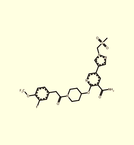 CS(=O)(=O)Cn1cc(-c2cnc(OC3CCN(C(=O)Cc4ccc(OC(F)(F)F)c(F)c4)CC3)c(C(N)=O)c2)cn1